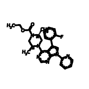 CCOC(=O)N1C[C@H](C)N(c2ncnc3c2c(-c2ccccc2F)cn3-c2ccccn2)C[C@H]1C